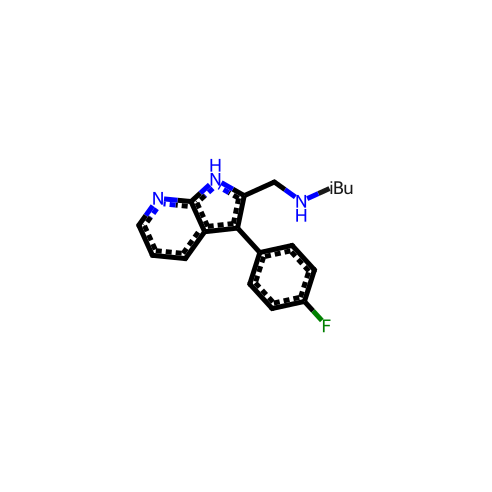 CCC(C)NCc1[nH]c2ncccc2c1-c1ccc(F)cc1